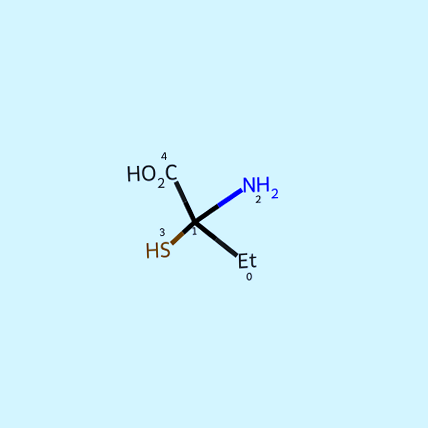 CCC(N)(S)C(=O)O